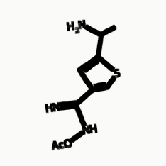 CC(=O)ONC(=N)c1csc(C(C)N)c1